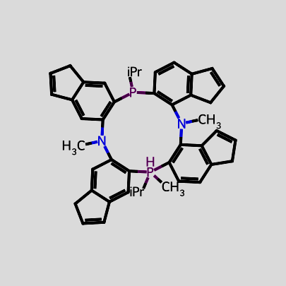 CC(C)P1c2cc3c(cc2N(C)c2cc4c(cc2[PH](C)(C(C)C)c2ccc5c(c2N(C)c2c1ccc1c2CC=C1)C=CC5)C=CC4)C=CC3